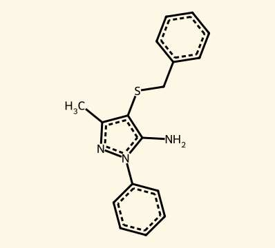 Cc1nn(-c2ccccc2)c(N)c1SCc1ccccc1